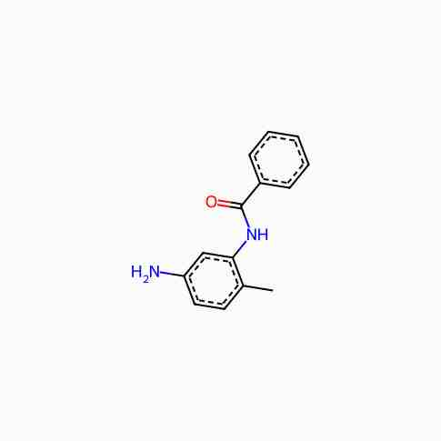 Cc1ccc(N)cc1NC(=O)c1ccccc1